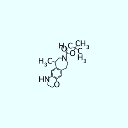 CC1CN(C(=O)OC(C)(C)C)CCc2cc3c(cc21)NCCO3